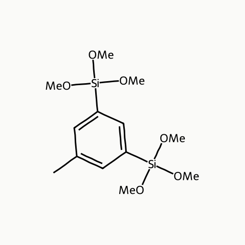 CO[Si](OC)(OC)c1cc(C)cc([Si](OC)(OC)OC)c1